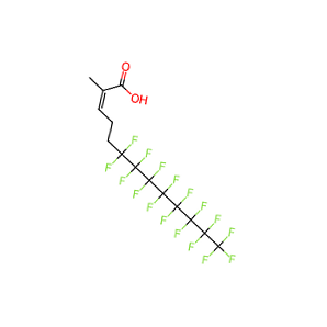 CC(=CCCC(F)(F)C(F)(F)C(F)(F)C(F)(F)C(F)(F)C(F)(F)C(F)(F)C(F)(F)F)C(=O)O